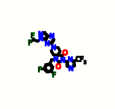 O=C1N(c2cncc(C(F)(F)F)n2)C(=O)C2(CCN(c3cnc4cnn(CC(F)F)c4n3)CC2)N1Cc1cc(F)cc(F)c1